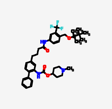 CN1CCC(OC(=O)Nc2cc(CCCC(=O)Nc3ccc(CO[Si](C)(C)C(C)(C)C)c(C(F)(F)F)c3)ccc2-c2ccccc2)CC1